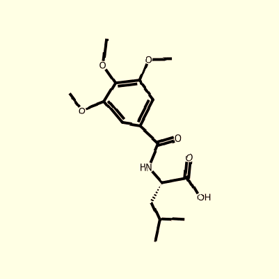 COc1cc(C(=O)N[C@@H](CC(C)C)C(=O)O)cc(OC)c1OC